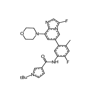 Cc1cc(F)c(NC(=O)c2ccn(C(C)(C)C)c2)cc1-c1cc(N2CCOCC2)c2ncc(F)n2c1